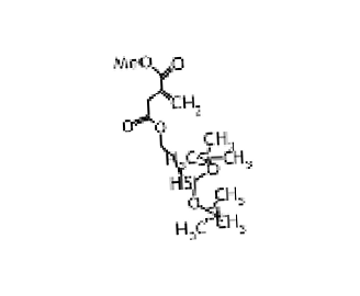 C=C(CC(=O)OCCC[SiH](O[Si](C)(C)C)O[Si](C)(C)C)C(=O)OC